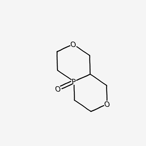 O=P12CCOCC1COCC2